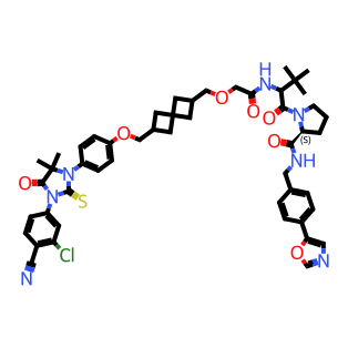 CC(C)(C)C(NC(=O)COCC1CC2(C1)CC(COc1ccc(N3C(=S)N(c4ccc(C#N)c(Cl)c4)C(=O)C3(C)C)cc1)C2)C(=O)N1CCC[C@H]1C(=O)NCc1ccc(-c2cnco2)cc1